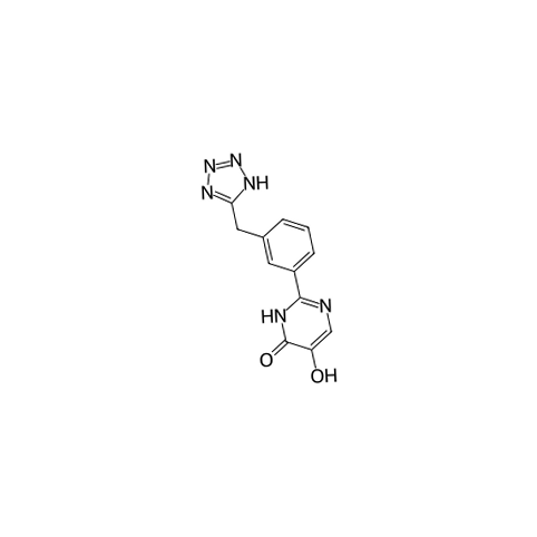 O=c1[nH]c(-c2cccc(Cc3nnn[nH]3)c2)ncc1O